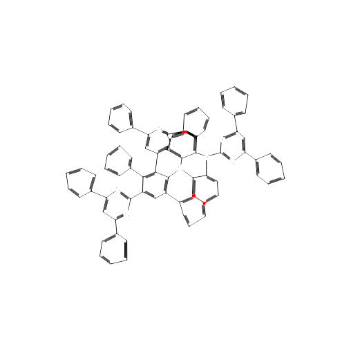 c1ccc(-c2cc(-c3c(-c4ccccc4)c(-c4nc(-c5ccccc5)cc(-c5ccccc5)n4)cc(-c4ccccc4)c3N3c4ccccc4N(c4nc(-c5ccccc5)cc(-c5ccccc5)n4)c4ccccc43)nc(-c3ccccc3)n2)cc1